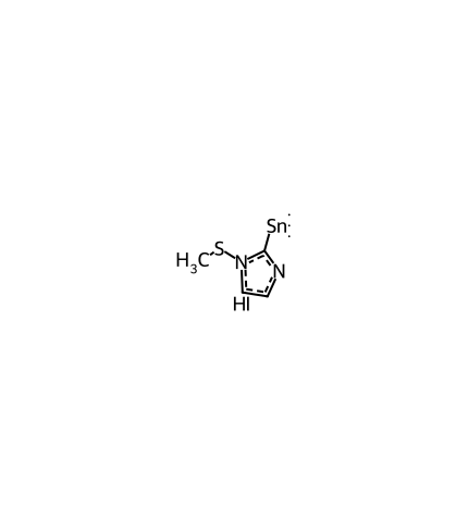 CSn1ccn[c]1[Sn].I